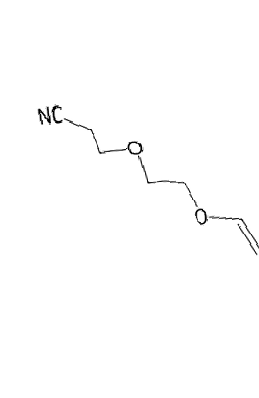 C=COCCOCCC#N